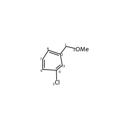 COCc1[c]c(Cl)ccc1